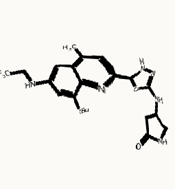 Cc1cc(C2NN=C(NC3CNC(=O)C3)O2)nc2c(C(C)(C)C)cc(NCC(F)(F)F)cc12